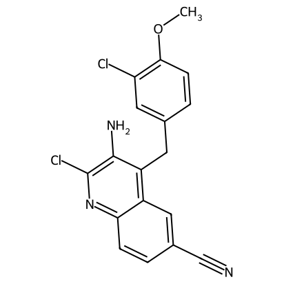 COc1ccc(Cc2c(N)c(Cl)nc3ccc(C#N)cc23)cc1Cl